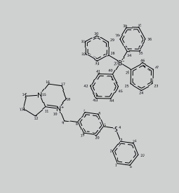 c1ccc(Sc2ccc(C[N+]3=C4CCCN4CCC3)cc2)cc1.c1ccc([B-](c2ccccc2)(c2ccccc2)c2ccccc2)cc1